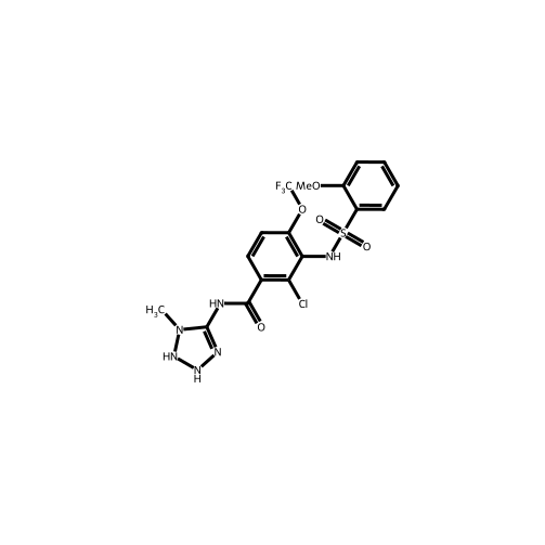 COc1ccccc1S(=O)(=O)Nc1c(OC(F)(F)F)ccc(C(=O)NC2=NNNN2C)c1Cl